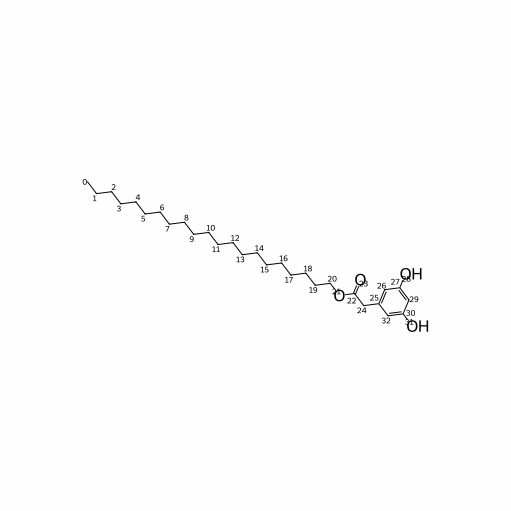 CCCCCCCCCCCCCCCCCCCCCOC(=O)Cc1cc(O)cc(O)c1